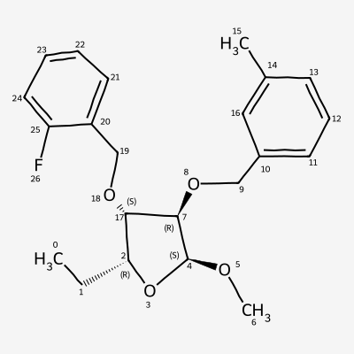 CC[C@H]1O[C@H](OC)[C@H](OCc2cccc(C)c2)[C@H]1OCc1ccccc1F